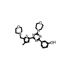 Cc1cc(-c2nc(-c3cccc(O)c3)nc(N3CCOCC3)n2)sc1CN1CCOCC1